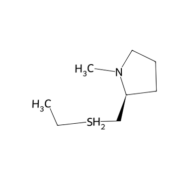 CC[SH2]C[C@@H]1CCCN1C